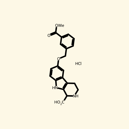 COC(=O)c1cccc(COc2ccc3[nH]c4c(c3c2)CCNC4C(=O)O)c1.Cl